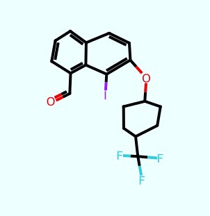 O=Cc1cccc2ccc(OC3CCC(C(F)(F)F)CC3)c(I)c12